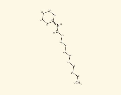 CCCCCCCCCCON=C1CCCCC1